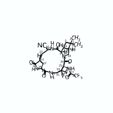 CC1(C)C[C@@H]2[C@H]3C(=O)NC(C#N)C[C@@H]4C[C@H](NC4=O)C(=O)NCC(F)(F)[C@H](NC(=O)C(F)(F)F)C(=O)N3C[C@@H]21